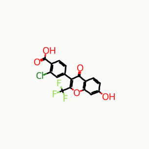 O=C(O)c1ccc(-c2c(C(F)(F)F)oc3cc(O)ccc3c2=O)cc1Cl